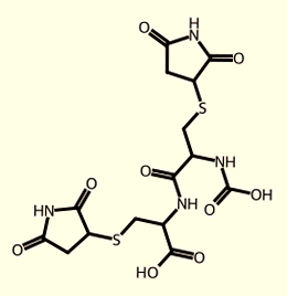 O=C(O)NC(CSC1CC(=O)NC1=O)C(=O)NC(CSC1CC(=O)NC1=O)C(=O)O